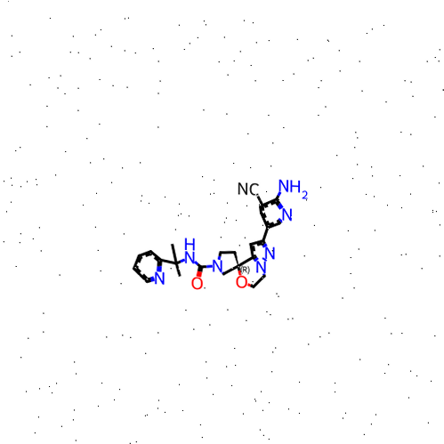 CC(C)(NC(=O)N1CC[C@]2(C1)OCCn1nc(-c3cnc(N)c(C#N)c3)cc12)c1ccccn1